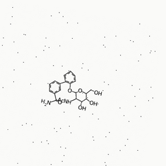 CC(=O)NC1C(Oc2ccccc2-c2cccc(C(N)=O)c2)OC(CO)C(O)C1O